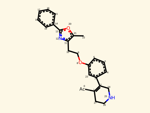 CC(=O)C1=C(c2cccc(OCCc3nc(-c4ccccc4)oc3C)c2)CNCC1